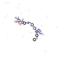 CCCC(C(=O)NC=O)N1C(=O)c2ccc(N3CC(CN4CCC(N5CCC(n6nc(-c7ccc(Oc8ccccc8)cc7)c7c(N)ncnc76)CC5)CC4)C3)cc2C1=O